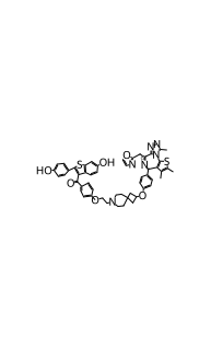 Cc1sc2c(c1C)C(c1ccc(OC3CC4(CCN(CCOc5ccc(C(=O)c6c(-c7ccc(O)cc7)sc7cc(O)ccc67)cc5)CC4)C3)cc1)=N[C@@H](Cc1ncco1)c1nnc(C)n1-2